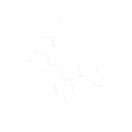 COc1ccc(Oc2ccnc3cc(OC)c(OC)cc23)c(C(=O)c2nccs2)c1